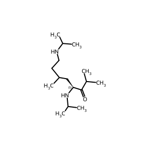 CC(CCNC(C)C)C[C@H](NC(C)C)C(=O)C(C)C